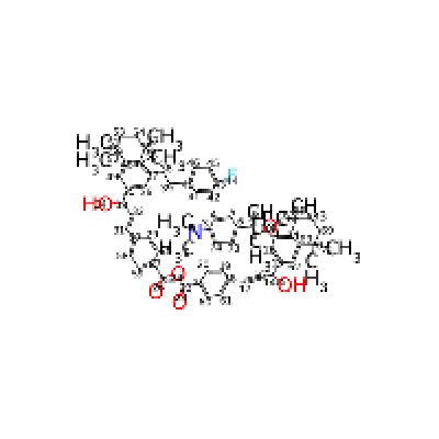 CN(C)c1ccc(C(C)(C)Oc2cc(C(O)C#Cc3ccc(C(=O)OC(=O)c4ccc(C=CC(O)c5cc(CCc6ccc(F)cc6)c6c(c5)C(C)(C)CCC6(C)C)cc4)cc3)cc3c2C(C)(C)CCC3(C)C)cc1